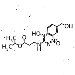 CC(C)OC(=O)CCNc1n[n+]([O-])c2cc(CO)ccc2[n+]1O